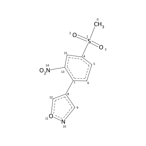 CS(=O)(=O)c1ccc(-c2cnoc2)c([N+](=O)[O-])c1